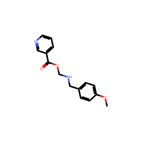 COc1ccc(CNCOC(=O)c2cccnc2)cc1